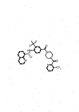 CC(F)(F)c1cc(C(=O)N2CCN(C(=O)c3ncccc3C(F)(F)F)CC2)ccc1N[S+]([O-])c1cccc2cccnc12